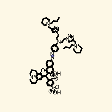 CCCC[N+]1(Cc2cn(CCN(CCn3cc(C[N+]4(CCCC)CCCCC4)nn3)c3ccc(/N=N/c4ccc5c6c(ccc5c4)C(c4ccc(S(=O)(=O)O)cc4S(=O)(=O)O)=c4cc5c7c(c4O6)CCC[N+]=7CCC5)cc3)nn2)CCCCC1